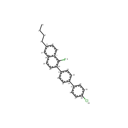 CCCCc1ccc2c(F)c(-c3ccc(-c4ccc(Cl)cc4)cc3)ccc2c1